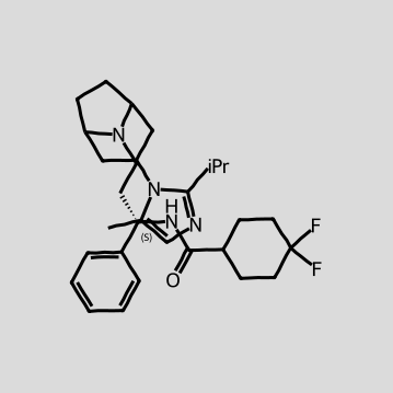 Cc1cnc(C(C)C)n1C1CC2CCC(C1)N2CC[C@H](NC(=O)C1CCC(F)(F)CC1)c1ccccc1